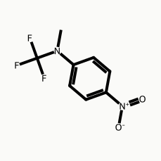 CN(c1ccc([N+](=O)[O-])cc1)C(F)(F)F